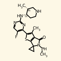 CPN1C(=O)c2c(sc(-c3nc(N[C@H]4CCNC[C@H]4C)ncc3F)c2C)C12CC2